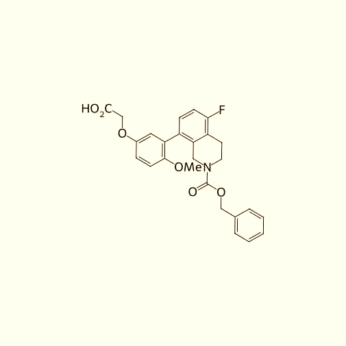 COc1ccc(OCC(=O)O)cc1-c1ccc(F)c2c1CN(C(=O)OCc1ccccc1)CC2